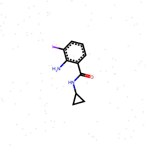 Nc1c(I)cccc1C(=O)NC1CC1